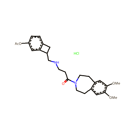 COc1cc2c(cc1OC)CCN(C(=O)CCNCC1Cc3ccc(OC(C)=O)cc31)CC2.Cl